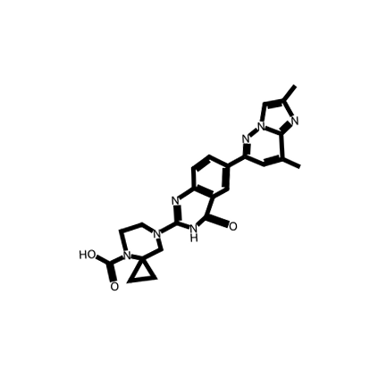 Cc1cn2nc(-c3ccc4nc(N5CCN(C(=O)O)C6(CC6)C5)[nH]c(=O)c4c3)cc(C)c2n1